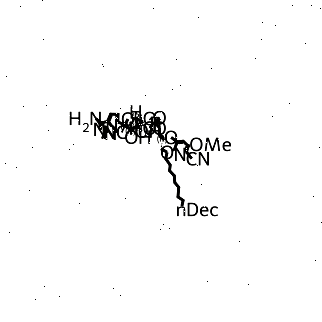 CCCCCCCCCCCCCCCCCCOC[C@H](COP(=O)(O)OC1[C@H]2O[C@@](C#N)(c3ccc4c(N)ncnn34)[C@H](O)[C@@]12O)Oc1cnc(C#N)c(OC)c1